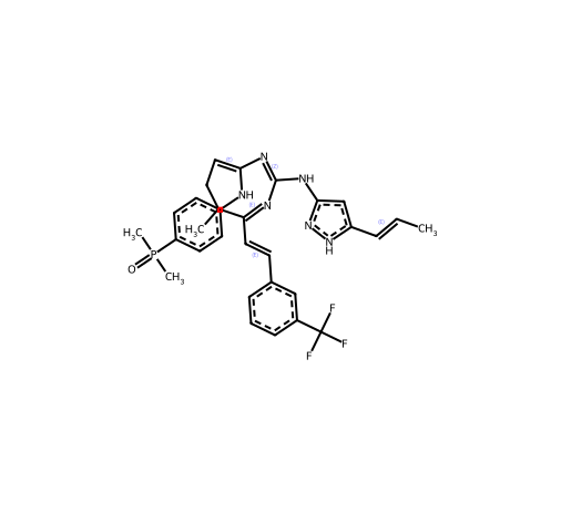 C/C=C/c1cc(NC2=N/C(Nc3ccc(P(C)(C)=O)cc3)=C/CC(C)C(/C=C/c3cccc(C(F)(F)F)c3)=N\2)n[nH]1